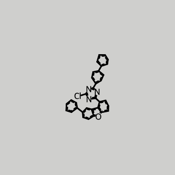 Clc1nc(-c2ccc(-c3ccccc3)cc2)nc(-c2cccc3oc4ccc(-c5ccccc5)cc4c23)n1